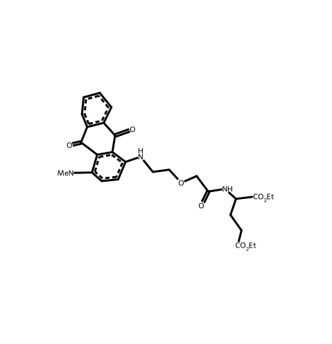 CCOC(=O)CCC(NC(=O)COCCNc1ccc(NC)c2c1C(=O)c1ccccc1C2=O)C(=O)OCC